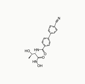 C[C@@H](O)[C@H](NC(=O)c1ccc(-c2ccc(C#N)cc2)cc1)C(=O)NO